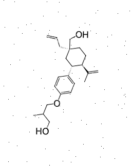 C=CC[C@]1(CO)CC[C@@H](C(=C)C)[C@H](c2ccc(OCC(C)CO)cc2)C1